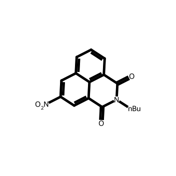 CCCCN1C(=O)c2cccc3cc([N+](=O)[O-])cc(c23)C1=O